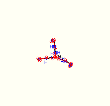 CC(COCCC(=O)NCCCCCCCC(=O)NCCCCCCCC(=O)ON1C(=O)CCC1=O)(COCCC(=O)NCCCCCCCC(=O)NCCCCCCCC(=O)ON1C(=O)CCC1=O)COCCC(=O)NCCCCCCCC(=O)NCCCCCCCC(=O)ON1C(=O)CCC1=O